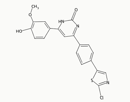 COc1cc(-c2cc(-c3ccc(-c4cnc(Cl)s4)cc3)nc(=O)[nH]2)ccc1O